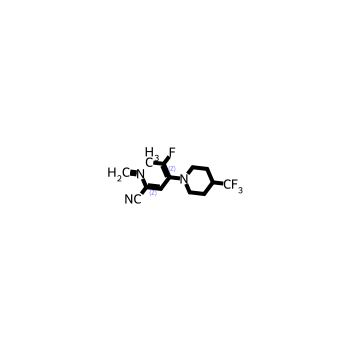 C=N/C(C#N)=C\C(=C(/C)F)N1CCC(C(F)(F)F)CC1